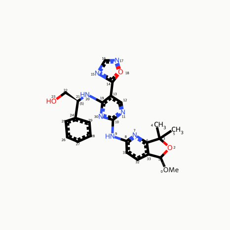 COC1OC(C)(C)c2nc(Nc3ncc(-c4ncno4)c(N[C@H](CO)c4ccccc4)n3)ccc21